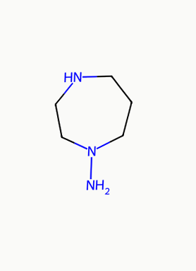 NN1CCCNCC1